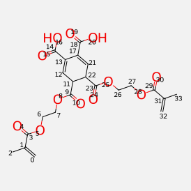 C=C(C)C(=O)OCCOC(=O)C1C=C(C(=O)O)C(C(=O)O)=CC1C(=O)OCCOC(=O)C(=C)C